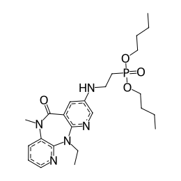 CCCCOP(=O)(CCNc1cnc2c(c1)C(=O)N(C)c1cccnc1N2CC)OCCCC